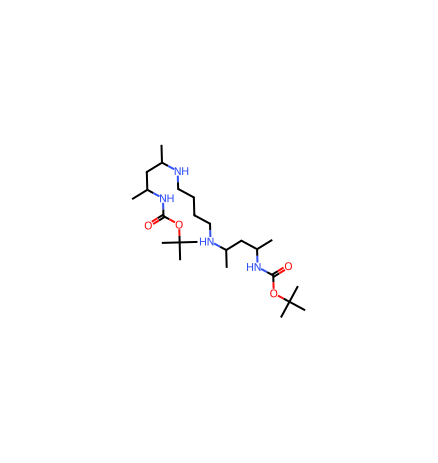 CC(CC(C)NC(=O)OC(C)(C)C)NCCCCNC(C)CC(C)NC(=O)OC(C)(C)C